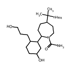 CCCCCCC(C)(C)C1CCC(C2CC(O)CCC2CCCO)N(C(N)=O)CC1